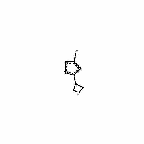 CC(C)c1cnn(C2CNC2)c1